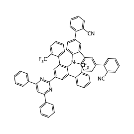 N#Cc1ccccc1-c1ccc2c(c1)c1cc(-c3ccccc3C#N)ccc1n2-c1c(-c2ccccc2C(F)(F)F)cc(-c2nc(-c3ccccc3)cc(-c3ccccc3)n2)cc1-c1ccccc1C(F)(F)F